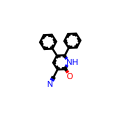 N#Cc1cc(-c2ccccc2)c(-c2ccccc2)[nH]c1=O